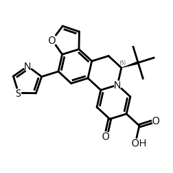 CC(C)(C)[C@@H]1Cc2c(cc(-c3cscn3)c3occc23)-c2cc(=O)c(C(=O)O)cn21